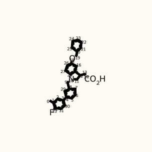 Cc1cc(-c2cccc(CN3CC(CC(=O)O)c4cc(OCc5ccccc5)ccc43)c2)ccc1F